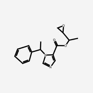 CC(OC(=O)c1cncn1C(C)c1ccccc1)C1CO1